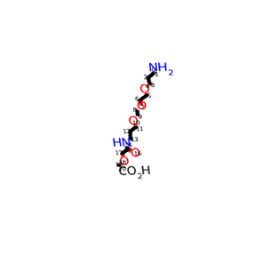 NCCCOCCOCCOCCCNC(=O)COCC(=O)O